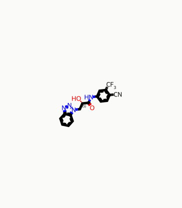 N#Cc1ccc(NC(=O)[C@@H](O)Cn2nnc3ccccc32)cc1C(F)(F)F